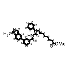 COC(=O)CCCCCc1cn(-c2ccccc2)c(NC(=O)c2cccc(-c3ccc4c(cnn4C)c3)c2)n1